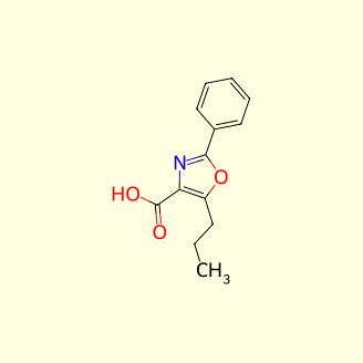 CCCc1oc(-c2ccccc2)nc1C(=O)O